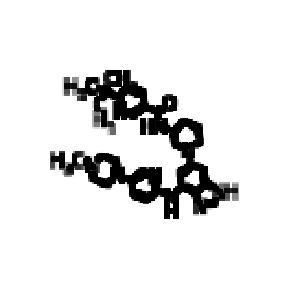 CN1CCN(c2ccc(Nc3cc(N4CCC[C@H](NC(=O)c5ccc(C(C)(C)C)nc5)C4)cc4[nH]cnc34)nc2)CC1